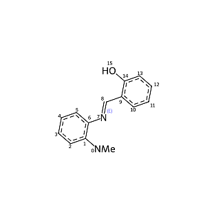 CNc1ccccc1/N=C/c1ccccc1O